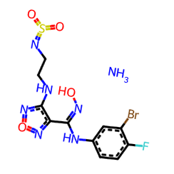 N.O=S(=O)=NCCNc1nonc1C(=NO)Nc1ccc(F)c(Br)c1